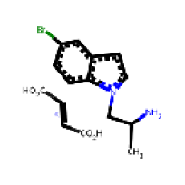 CC(N)Cn1ccc2cc(Br)ccc21.O=C(O)/C=C/C(=O)O